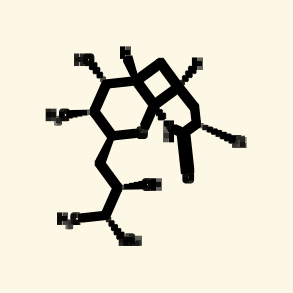 CCCC[C@H](C)[C@@H](O)C[C@@H]1O[C@]23NC(=O)[C@@H](CC)C[C@@H]2C[C@H]3[C@@H](O)[C@H]1C